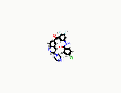 O=C(Nc1cc(F)c(F)c(C(=O)c2ccc3ncc(N4CCNCC4)cc3c2)c1)c1ccc(Cl)cc1